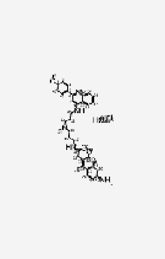 COc1ccc(-c2cc(NCCCN(C)CCCNC(=O)Cc3c(C)c4ccc(N)cc4oc3=O)c3ccccc3n2)cc1.Cl.Cl.Cl